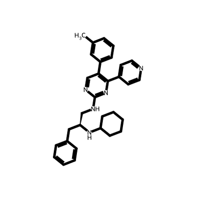 Cc1cccc(-c2cnc(NC[C@H](Cc3ccccc3)NC3CCCCC3)nc2-c2ccncc2)c1